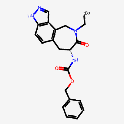 CC(C)(C)CN1Cc2c(ccc3[nH]ncc23)C[C@@H](NC(=O)OCc2ccccc2)C1=O